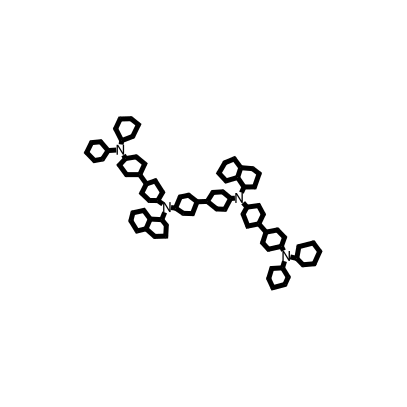 C1CCC(N(C2CCCCC2)C2CCC(C3CCC(N(C4CCC(C5CCC(N(C6CCC(C7CCC(N(C8CCCCC8)C8CCCCC8)CC7)CC6)C6CCCC7CCCCC76)CC5)CC4)C4CCCC5CCCCC54)CC3)CC2)CC1